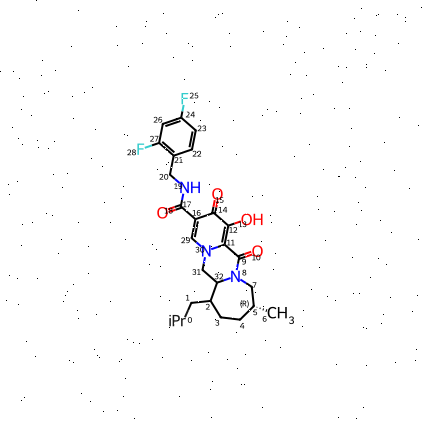 CC(C)CC1CC[C@@H](C)CN2C(=O)c3c(O)c(=O)c(C(=O)NCc4ccc(F)cc4F)cn3CC12